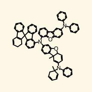 CC12C=C(N(c3ccccc3)C3(C)C=CC=CC3)C=CC1Oc1cc(N(c3cccc4c3-c3ccccc3C43C4=C(C=CCC4)c4ccccc43)c3cccc4c3oc3ccc(N(c5ccccc5)c5ccccc5)cc34)ccc12